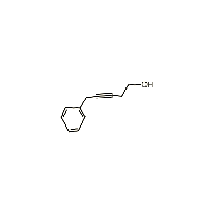 OCCC#CCc1ccccc1